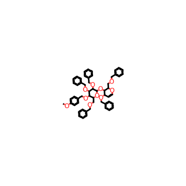 COc1ccc(COC2C(COCc3ccccc3)OC(OC3C(OCc4ccccc4)C=COC3COCc3ccccc3)C(OCc3ccccc3)C2OCc2ccccc2)cc1